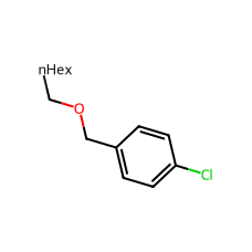 [CH2]CCCCCCOCc1ccc(Cl)cc1